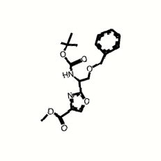 COC(=O)c1coc(C(COCc2ccccc2)NC(=O)OC(C)(C)C)n1